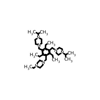 CCc1c(CN2CCN(CC)CC2)c(CC)c(CN2CCN(C(C)C)CC2)c(CC)c1CN1CCN(C(C)C)CC1